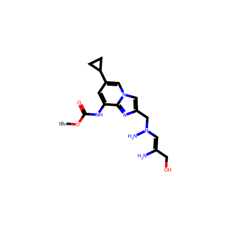 CC(C)(C)OC(=O)Nc1cc(C2CC2)cn2cc(CN(N)/C=C(\N)CO)nc12